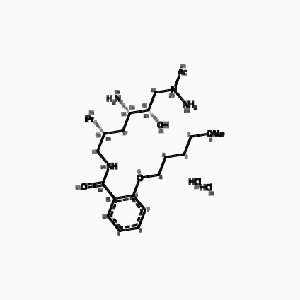 COCCCCOc1ccccc1C(=O)NC[C@@H](C[C@H](N)[C@@H](O)CN(N)C(C)=O)C(C)C.Cl.Cl